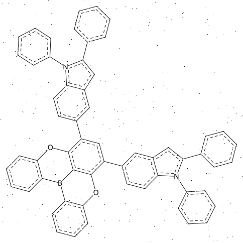 c1ccc(-c2cc3cc(-c4cc(-c5ccc6c(c5)cc(-c5ccccc5)n6-c5ccccc5)c5c6c4Oc4ccccc4B6c4ccccc4O5)ccc3n2-c2ccccc2)cc1